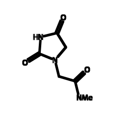 CNC(=O)CN1CC(=O)NC1=O